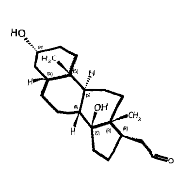 C[C@]12CC[C@@H](O)C[C@H]1CC[C@@H]1[C@@H]2CC[C@]2(C)[C@@H](CC=O)CC[C@]12O